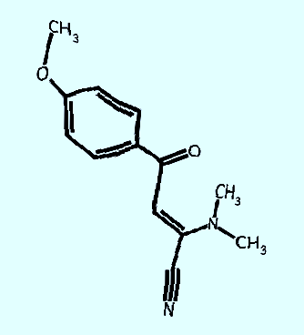 COc1ccc(C(=O)C=C(C#N)N(C)C)cc1